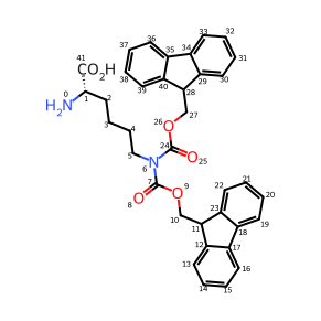 N[C@@H](CCCCN(C(=O)OCC1c2ccccc2-c2ccccc21)C(=O)OCC1c2ccccc2-c2ccccc21)C(=O)O